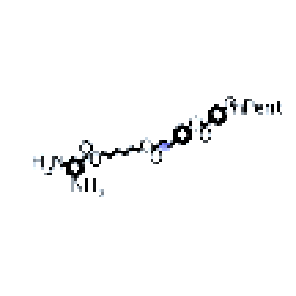 CCCCCOc1ccc(C(=O)Oc2ccc(/C=C/C(=O)OCCCCCCOC(=O)c3cc(N)cc(N)c3)cc2)cc1